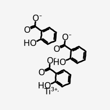 O=C([O-])c1ccccc1O.O=C([O-])c1ccccc1O.O=C([O-])c1ccccc1O.[Ti+3]